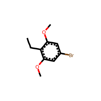 CCc1c(OC)cc(Br)cc1OC